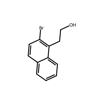 OCCc1c(Br)ccc2ccccc12